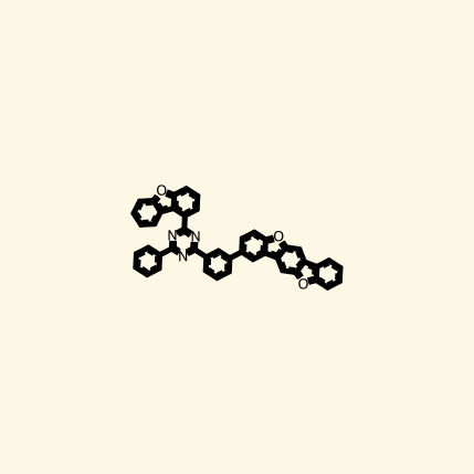 c1ccc(-c2nc(-c3cccc(-c4ccc5oc6cc7c(cc6c5c4)oc4ccccc47)c3)nc(-c3cccc4oc5ccccc5c34)n2)cc1